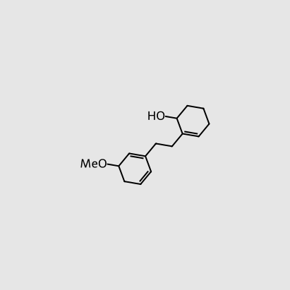 COC1C=C(CCC2=CCCCC2O)C=CC1